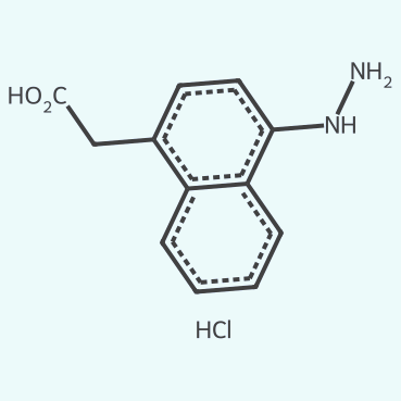 Cl.NNc1ccc(CC(=O)O)c2ccccc12